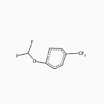 FC(F)Oc1ccc(C(F)(F)F)cc1